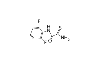 NC(=S)C(=O)Nc1c(F)cccc1F